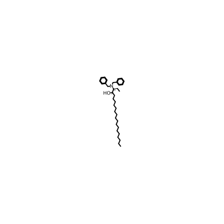 CCCCCCCCCCCCCCCCC[C@@H](O)[C@H](CC)N(Cc1ccccc1)Cc1ccccc1